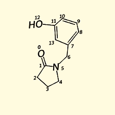 O=C1CCCN1Cc1cccc(O)c1